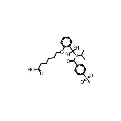 [2H]C([2H])(c1ccccc1OCCCCCC(=O)O)N(C(=O)c1ccc(S(C)(=O)=O)cc1)C(C)C